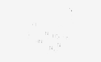 C/N=C(\Nc1cccc(Cl)c1)C1C(NC(=O)c2ccc(C#N)cc2)=NON1C